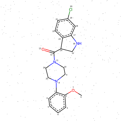 COc1ccccc1N1CCN(C(=O)C2CNc3cc(Cl)ccc32)CC1